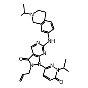 C=CCn1c(=O)c2cnc(Nc3ccc4c(c3)CN(C(C)C)CC4)nc2n1-c1ccc(=O)n(C(C)C)n1